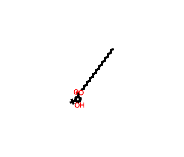 CCCCCCCCCCCCCCCCCCCCCCOC(=O)c1ccc(O)c(C(C)(C)C)c1